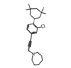 CC1(C)CC(c2ccc(C#CCN3CCCCCC3)cc2Cl)CC(C)(C)C1